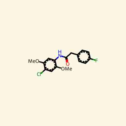 COc1cc(NC(=O)Cc2ccc(F)cc2)c(OC)cc1Cl